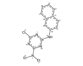 CCN(CC)c1nc(Cl)nc(Nc2ccc3ccccc3c2)n1